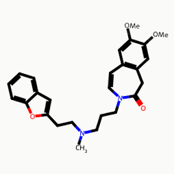 COc1cc2c(cc1OC)CC(=O)N(CCCN(C)CCc1cc3ccccc3o1)C=C2